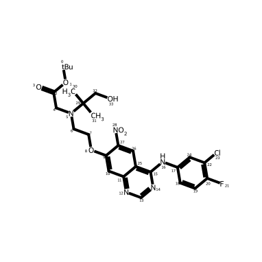 CC(C)(C)OC(=O)CN(CCOc1cc2ncnc(Nc3ccc(F)c(Cl)c3)c2cc1[N+](=O)[O-])C(C)(C)CO